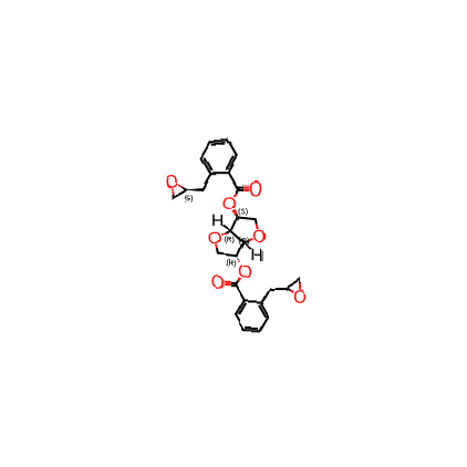 O=C(O[C@H]1CO[C@H]2[C@@H]1OC[C@H]2OC(=O)c1ccccc1CC1CO1)c1ccccc1C[C@H]1CO1